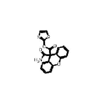 NC(=O)C1(C(=O)Oc2ncco2)c2ccccc2Oc2ccccc21